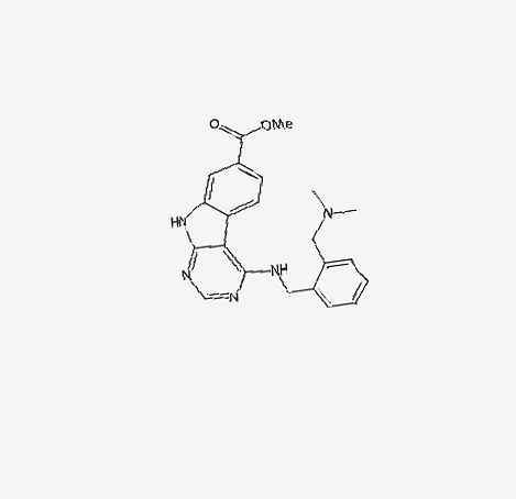 COC(=O)c1ccc2c(c1)[nH]c1ncnc(NCc3ccccc3CN(C)C)c12